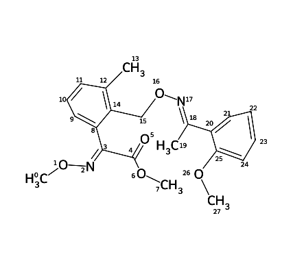 CO/N=C(/C(=O)OC)c1cccc(C)c1CO/N=C(\C)c1ccccc1OC